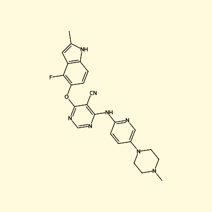 Cc1cc2c(F)c(Oc3ncnc(Nc4ccc(N5CCN(C)CC5)cn4)c3C#N)ccc2[nH]1